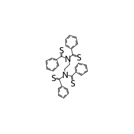 S=C(c1ccccc1)N(CCN(C(=S)c1ccccc1)C(=S)c1ccccc1)C(=S)c1ccccc1